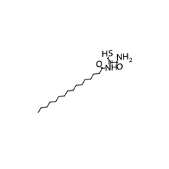 CCCCCCCCCCCCCCCC(=O)N[C@@H](CS)C(N)=O